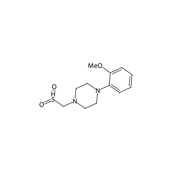 COc1ccccc1N1CCN(C[SH](=O)=O)CC1